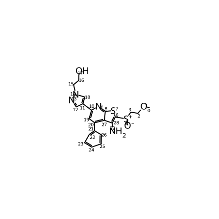 COCC[S+]([O-])c1sc2nc(-c3cnn(CCO)c3)cc(-c3ccccc3)c2c1N